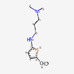 CN(C)CCCNc1ccc(C=O)s1